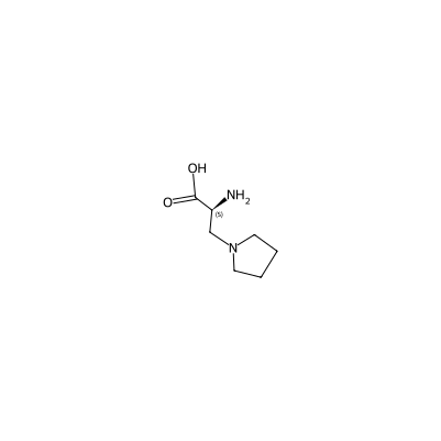 N[C@@H](CN1CCCC1)C(=O)O